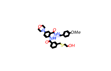 COc1ccc(/C=N/NC(=O)c2cc(N3CCOCC3)ccc2NC(=O)c2cccc(CSCCO)c2)cc1